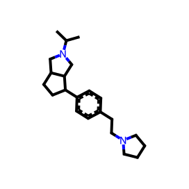 CC(C)N1CC2CCC(c3ccc(CCN4CCCC4)cc3)C2C1